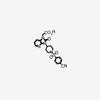 N#Cc1ccc(S(=O)(=O)N2CCC(n3c(=O)n(CC(=O)O)c4cccnc43)CC2)cc1